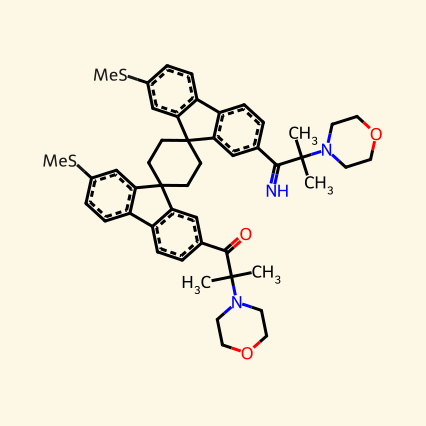 CSc1ccc2c(c1)C1(CCC3(CC1)c1cc(SC)ccc1-c1ccc(C(=O)C(C)(C)N4CCOCC4)cc13)c1cc(C(=N)C(C)(C)N3CCOCC3)ccc1-2